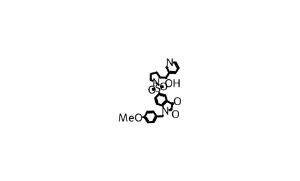 COc1ccc(CN2C(=O)C(=O)c3cc(S(=O)(=O)N4CCCC4C(O)c4cccnc4)ccc32)cc1